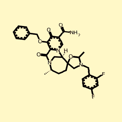 CC1OC2(CC[C@H](C)N3C[C@H]2n2cc(C(N)=O)c(=O)c(OCc4ccccc4)c2C3=O)CN1Cc1ccc(F)cc1F